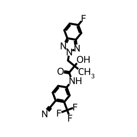 CC(O)(Cn1nc2ccc(F)cc2n1)C(=O)Nc1ccc(C#N)c(C(F)(F)F)c1